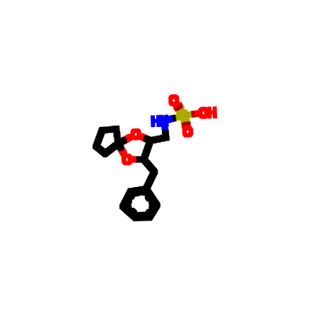 O=S(=O)(O)NCC1OC2(CCCC2)OC1Cc1ccccc1